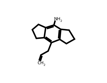 C=CCc1c2c(c(N)c3c1CCC3)CCC2